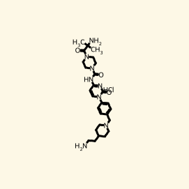 CC(C)(N)C(=O)N1CCN(C(=O)Nc2ccn(-c3ccc(CN4CCC(CCN)CC4)cc3)c(=O)n2)CC1.Cl